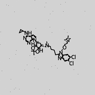 CN(CCCCc1nc2cc(Cl)c(Cl)cc2n1COCC[Si](C)(C)C)C[C@H]1C[C@@H](n2ccc3c(NC4CC4)ncnc32)[C@@H]2OC(C)(C)O[C@H]12